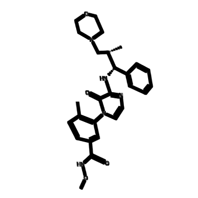 CONC(=O)c1ccc(C)c(-n2ccnc(N[C@@H](c3ccccc3)[C@@H](C)CN3CCOCC3)c2=O)c1